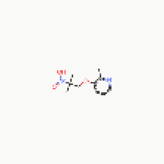 Cc1ncccc1OCC(C)(C)[N+](=O)O